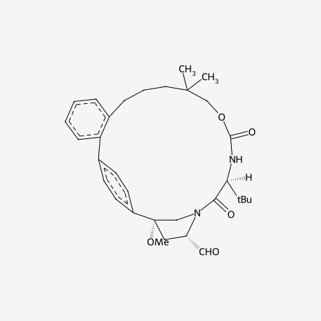 CO[C@@]12C[C@@H](C=O)N(C1)C(=O)[C@H](C(C)(C)C)NC(=O)OCC(C)(C)CCCc1ccccc1-c1ccc2cc1